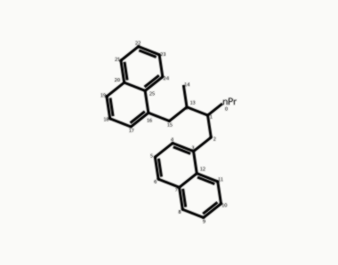 CCCC(Cc1cccc2ccccc12)[C](C)Cc1cccc2ccccc12